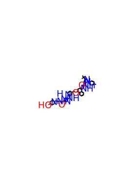 Cc1ccc(-n2nc(C(C)(C)C)cc2NC(=O)Nc2ccc(OCc3ccnc(Nc4cnc(C(=O)NCCN5CCC(O)CC5)cn4)c3)c3ccccc23)cc1